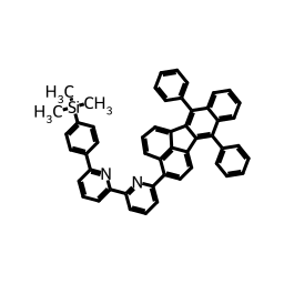 C[Si](C)(C)c1ccc(-c2cccc(-c3cccc(-c4ccc5c6c(cccc46)-c4c-5c(-c5ccccc5)c5ccccc5c4-c4ccccc4)n3)n2)cc1